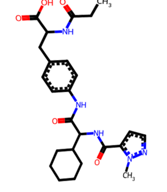 CCC(=O)NC(Cc1ccc(NC(=O)C(NC(=O)c2ccnn2C)C2CCCCC2)cc1)C(=O)O